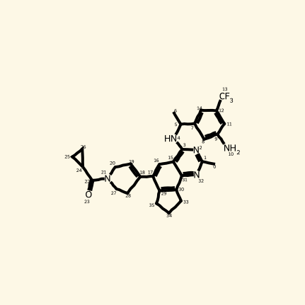 Cc1nc(NC(C)c2cc(N)cc(C(F)(F)F)c2)c2cc(C3=CCN(C(=O)C4CC4)CC3)c3c(c2n1)CCC3